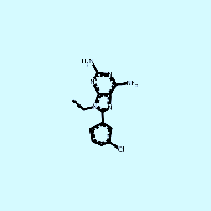 CCn1c(-c2cccc(Cl)c2)nc2c(N)nc(N)nc21